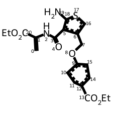 C=C(NC(=O)c1c(COc2ccc(C(=O)OCC)cc2)csc1N)C(=O)OCC